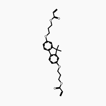 C=CC(=O)OCCCOc1ccc2c(c1)C(C)(C)c1cc(OCCCOC(=O)C=C)ccc1-2